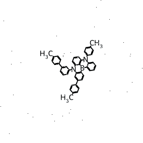 Cc1ccc(-c2cccc(N3c4cc(-c5ccc(C)cc5)ccc4B4c5ccccc5N(c5ccc(C)cc5)c5cccc3c54)c2)cc1